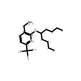 CCCCC(CCCC)Oc1nc(C(F)(F)F)ccc1CN